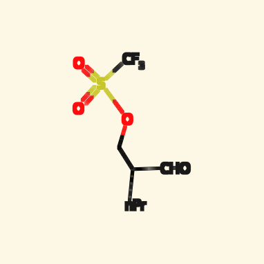 CCCC(C=O)COS(=O)(=O)C(F)(F)F